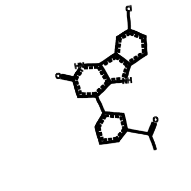 CC(=O)c1cccc(-c2cc(=O)[nH]c3c2[nH]c2ccc(Cl)cc23)c1